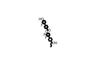 CCCC(O)C1CCC(c2ccc(OC(=O)c3ccc(-c4ccc(O)cc4F)cc3)c(F)c2F)CC1